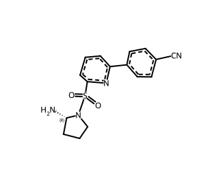 N#Cc1ccc(-c2cccc(S(=O)(=O)N3CCC[C@@H]3N)n2)cc1